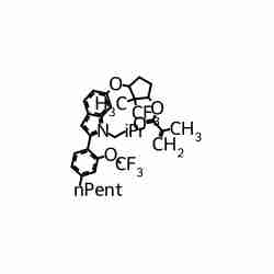 C=C(C)C(=O)OC1CCC(Oc2ccc3cc(-c4ccc(CCCCC)cc4OC(F)(F)F)n(CC(C)C)c3c2)C1(C)C(F)(F)F